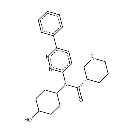 O=C([C@H]1CCCNC1)N(c1ccc(-c2ccccc2)nn1)C1CCC(O)CC1